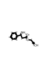 C#CCOC(=O)CC(N)c1ccccc1